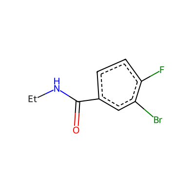 CCNC(=O)c1ccc(F)c(Br)c1